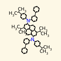 CC(C)c1ccc(N(c2cccc(-c3ccccc3)c2)c2cc(C(C)C)c3ccc4c(N(c5ccc(C(C)C)cc5)c5cccc(-c6ccccc6)c5)cc(C(C)C)c5ccc2c3c54)cc1